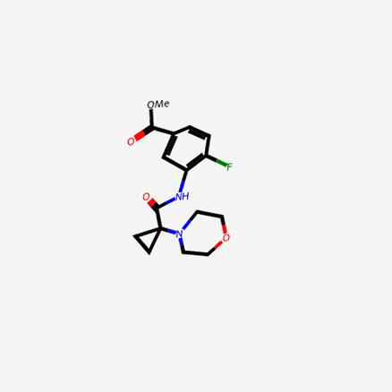 COC(=O)c1ccc(F)c(NC(=O)C2(N3CCOCC3)CC2)c1